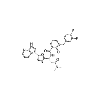 CN(C)C(=O)C[C@@H](NC(=O)c1cccn(Cc2ccc(F)c(F)c2)c1=O)c1nnc(-c2c[nH]c3ncccc23)o1